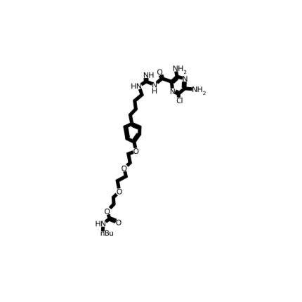 CCCCNC(=O)OCCOCCOCCOc1ccc(CCCCNC(=N)NC(=O)c2nc(Cl)c(N)nc2N)cc1